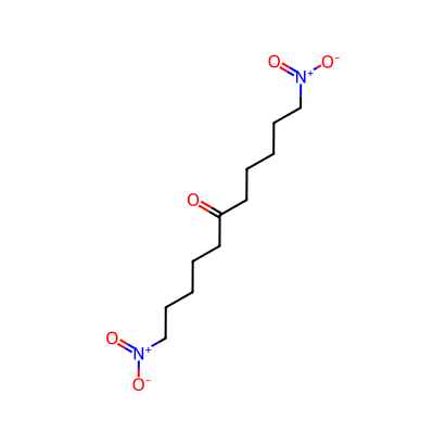 O=C(CCCCC[N+](=O)[O-])CCCCC[N+](=O)[O-]